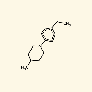 CCc1ccc(N2CCC(C)CC2)cc1